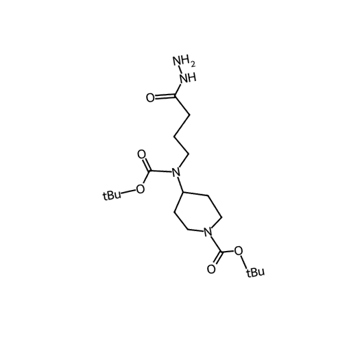 CC(C)(C)OC(=O)N1CCC(N(CCCC(=O)NN)C(=O)OC(C)(C)C)CC1